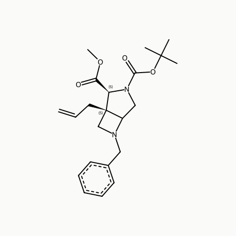 C=CC[C@]12CN(Cc3ccccc3)C1CN(C(=O)OC(C)(C)C)[C@@H]2C(=O)OC